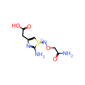 NC(=O)CO/N=S1/C=C(CC(=O)O)N=C1N